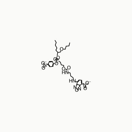 CCCCCC(COCCCC)COP(=O)(CCCOC(=O)NCCCNc1ccc([N+](=O)[O-])c2nonc12)Oc1ccc([N+](=O)[O-])cc1